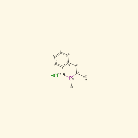 CCC(Cc1ccccc1)P(C)C.Cl